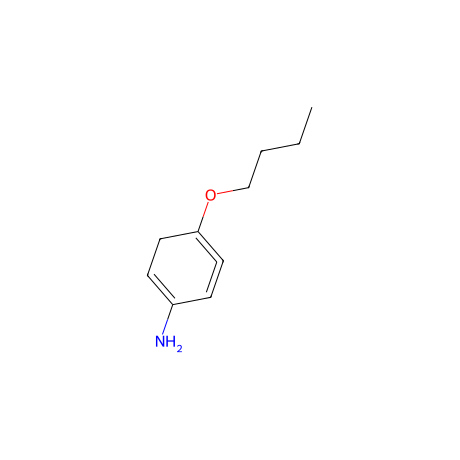 CCCCOC1=C=CC(N)=CC1